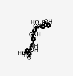 O=C(N[C@@H]1CCN(C(=O)COc2cccc(C(O)(C(=O)O)c3ccccc3)c2)C1)c1ccc(CCNCC(O)c2ccc(O)c3[nH]c(=O)ccc23)cc1